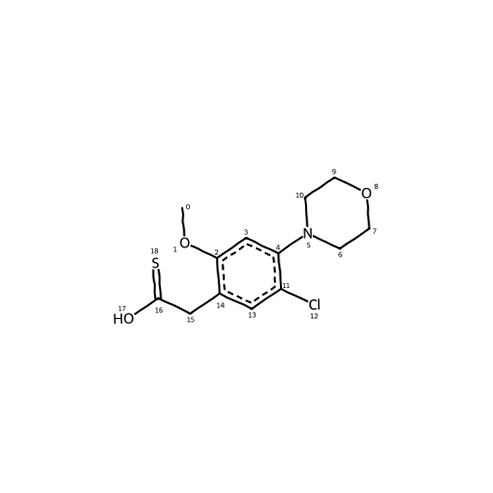 COc1cc(N2CCOCC2)c(Cl)cc1CC(O)=S